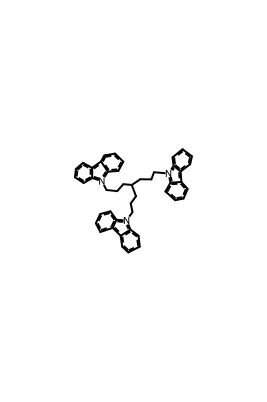 c1ccc2c(c1)c1ccccc1n2CCCC(CCCn1c2ccccc2c2ccccc21)CCCn1c2ccccc2c2ccccc21